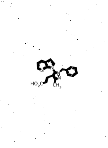 Cc1nn(Cc2ccccc2)c(-n2ccc3cccnc32)c1/C=C/C(=O)O